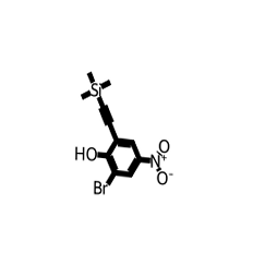 C[Si](C)(C)C#Cc1cc([N+](=O)[O-])cc(Br)c1O